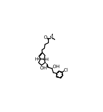 CN(C)C(=O)CCCCC1=C[C@H]2C[C@@H](O)[C@H](/C=C/[C@H](O)Cc3cccc(Cl)c3)[C@H]2C1